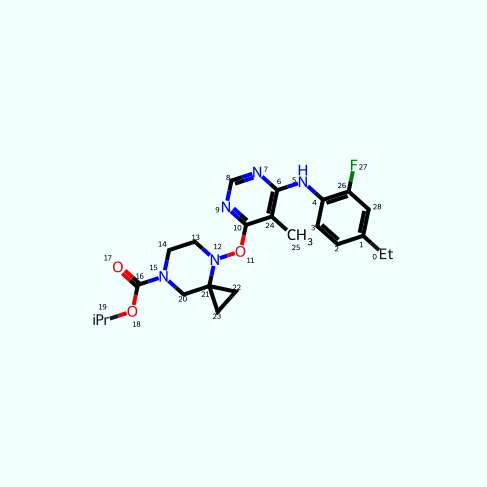 CCc1ccc(Nc2ncnc(ON3CCN(C(=O)OC(C)C)CC34CC4)c2C)c(F)c1